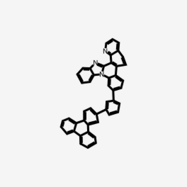 c1cc(-c2ccc3c4ccccc4c4ccccc4c3c2)cc(-c2ccc3c4ccc5cccnc5c4c4nc5ccccc5n4c3c2)c1